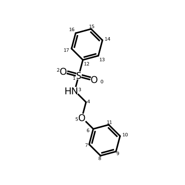 O=S(=O)(NCOc1ccccc1)c1ccccc1